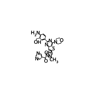 CN(Cc1cc2nc(-c3ccc(N)c(CO)c3)nc(N3CCOCC3)c2s1)N(O)C(=O)c1cncnc1